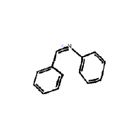 C(=N/c1ccccc1)/c1ccccc1